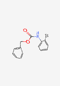 CCc1ccccc1NC(=O)OCc1ccccc1